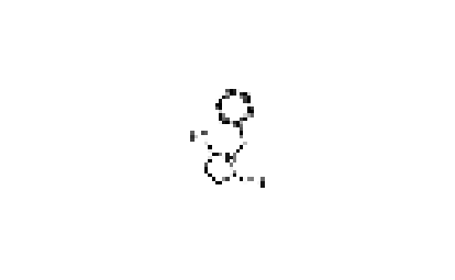 OC1CCC(O)N1Cc1ccccc1